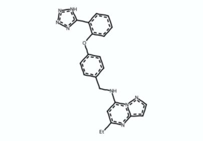 CCc1cc(NCc2ccc(Oc3ccccc3-c3nnn[nH]3)cc2)n2nccc2n1